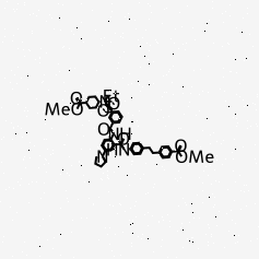 CCN(C1CCC(C(=O)OC)CC1)S(=O)(=O)c1cccc(C(=O)Nc2ccc(N3CCCC3)cc2C(=O)Nc2ccc(CCc3ccc(C(=O)OC)cc3)cc2)c1